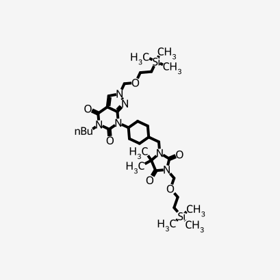 CCCCn1c(=O)c2cn(COCC[Si](C)(C)C)nc2n(C2CCC(CN3C(=O)N(COCC[Si](C)(C)C)C(=O)C3(C)C)CC2)c1=O